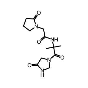 CC(C)(NC(=O)CN1CCCC1=O)C(=O)N1CNC(=O)C1